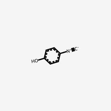 [C-]#[N+]c1ccc(O)cc1